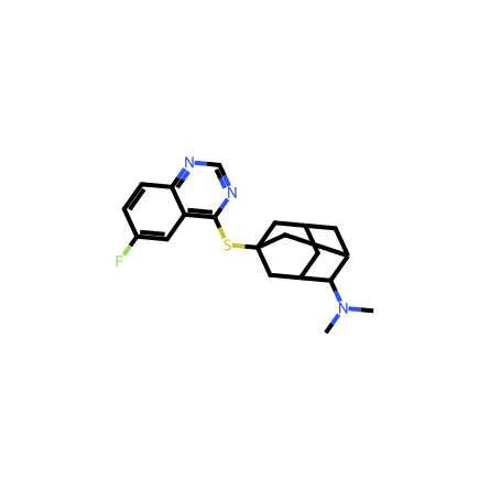 CN(C)C1C2CC3CC1CC(Sc1ncnc4ccc(F)cc14)(C3)C2